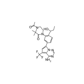 CCC(O)c1ccc(-c2cc(C(F)(F)F)c3c(N)ncnn23)cc1N1CCN(C(C)=O)C(C)(C)C1=O